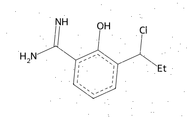 CCC(Cl)c1cccc(C(=N)N)c1O